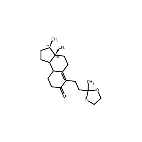 C[C@@H]1CCC2C3CCC(=O)C(CCC4(C)OCCO4)=C3CC[C@]21C